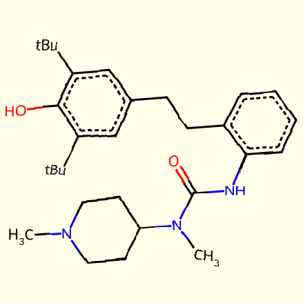 CN1CCC(N(C)C(=O)Nc2ccccc2CCc2cc(C(C)(C)C)c(O)c(C(C)(C)C)c2)CC1